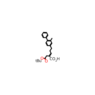 Cc1cc(CC/C=C(\CC(=O)OC(C)(C)C)C(=O)O)ccc1-c1ccccc1